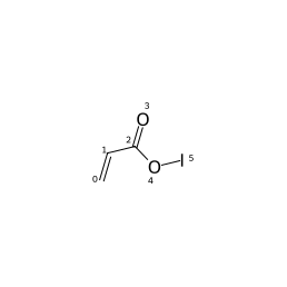 C=CC(=O)OI